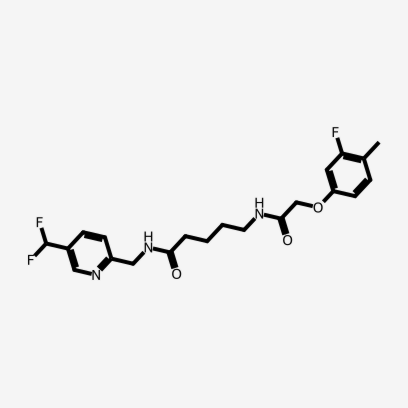 Cc1ccc(OCC(=O)NCCCCC(=O)NCc2ccc(C(F)F)cn2)cc1F